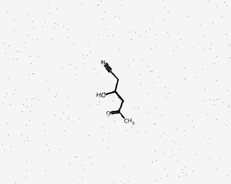 CC(=O)CC(O)CC#N